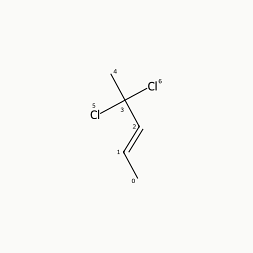 C/C=C/C(C)(Cl)Cl